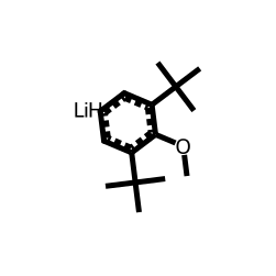 COc1c(C(C)(C)C)c[c]cc1C(C)(C)C.[LiH]